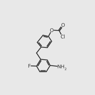 Nc1ccc(F)c(Cc2ccc(OC(=O)Cl)cc2)c1